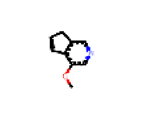 COc1cncc2c1C=CC2